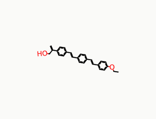 C=C(CO)c1ccc(C=Cc2ccc(C=Cc3ccc(OCC)cc3)cc2)cc1